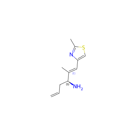 C=CC[C@H](N)/C(C)=C/c1csc(C)n1